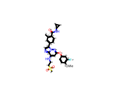 COc1ccc(Oc2cc(NCCS(C)(=O)=O)c3ncc(-c4ccc(C(=O)NC5CC5)c(C)c4)n3n2)cc1F